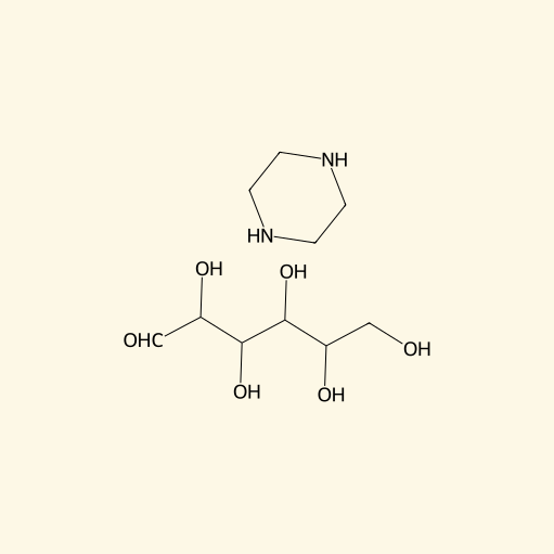 C1CNCCN1.O=CC(O)C(O)C(O)C(O)CO